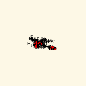 COC(=O)NC(C(=O)NC(Cc1ccc(C#Cc2cnc(N3CC4CCC(C3)N4C3COC3)nc2)cc1)C(CN(Cc1c(F)cc(-c2ccn(C(F)F)n2)cc1F)NC(=O)C(NC(=O)OC)C(C)(C)C(F)(F)F)OC(=O)c1ccccn1)C(C)(C)C(F)(F)F